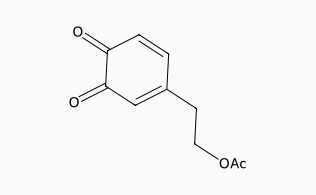 CC(=O)OCCC1=CC(=O)C(=O)C=C1